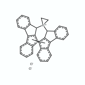 Cn1c2c(c3ccccc31)-c1ccccc1[CH]2[Zr+2]1([CH]2c3ccccc3-c3c2n(C)c2ccccc32)[CH2][CH2]1.[Cl-].[Cl-]